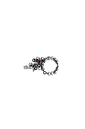 CC(CN1CCCCC1)Oc1nc(N2CCCOCC3CCCC(CCCCCCCCCCCCCCCCCCCCCCCCCN(C(=O)OC(C)(C)C)C2)C3)c2cc(Cl)c(-c3ccc(F)c4sc(NC(=O)OC(C)(C)C)nc34)c(F)c2n1